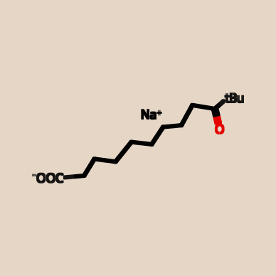 CC(C)(C)C(=O)CCCCCCCCC(=O)[O-].[Na+]